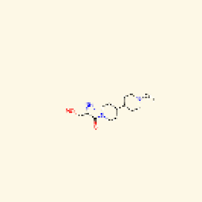 CN1CCC(C2CCN(C(=O)[C@H](N)CO)CC2)CC1